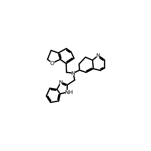 C1=CC2=CC(N(Cc3nc4ccccc4[nH]3)Cc3cccc4c3OCC4)CCC2N=C1